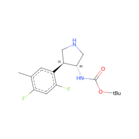 Cc1cc([C@H]2CNC[C@@H]2NC(=O)OC(C)(C)C)c(F)cc1F